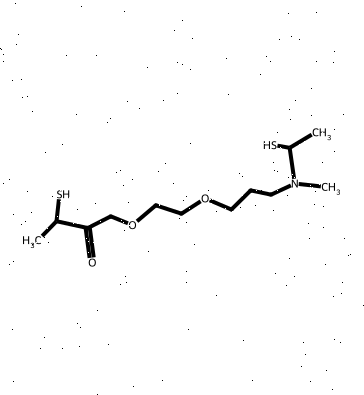 CC(S)C(=O)COCCOCCCN(C)C(C)S